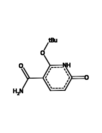 CC(C)(C)Oc1[nH]c(=O)ccc1C(N)=O